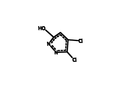 Oc1cc(Cl)c(Cl)nn1